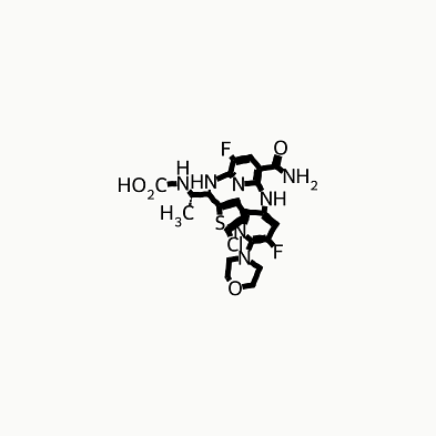 C[C@H](NC(=O)O)[C@H](Nc1nc(Nc2cnc(N3CCOCC3)c(F)c2)c(C(N)=O)cc1F)c1ccc(Cl)s1